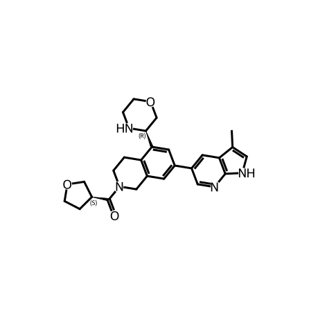 Cc1c[nH]c2ncc(-c3cc4c(c([C@@H]5COCCN5)c3)CCN(C(=O)[C@H]3CCOC3)C4)cc12